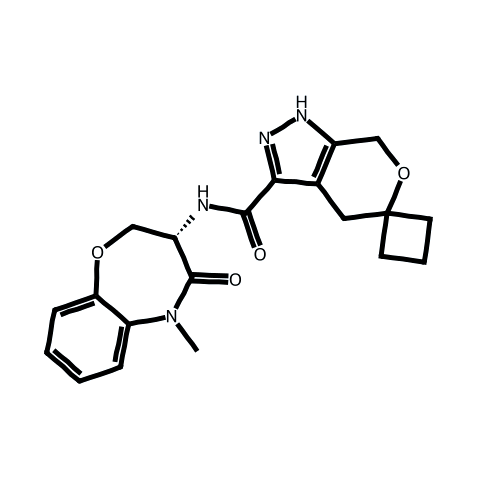 CN1C(=O)[C@@H](NC(=O)c2n[nH]c3c2CC2(CCC2)OC3)COc2ccccc21